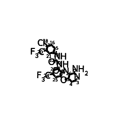 Nc1nccc(Oc2cc(NC(=O)Nc3ccc(Cl)c(C(F)(F)F)c3)cc(C(F)(F)F)c2)c1[N+](=O)[O-]